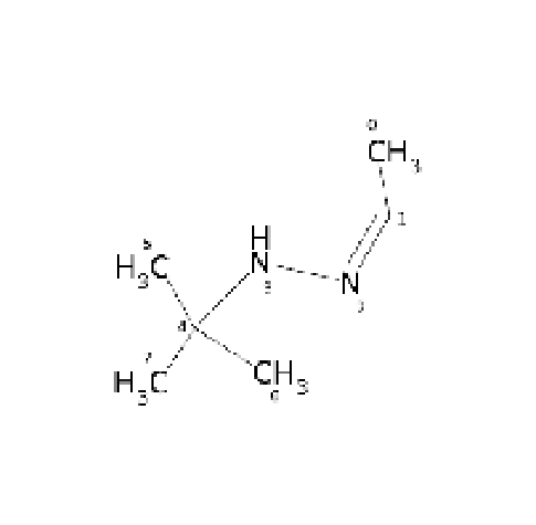 C/C=N\NC(C)(C)C